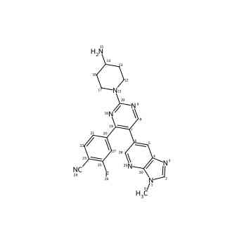 Cn1cnc2cc(-c3cnc(N4CCC(N)CC4)nc3-c3ccc(C#N)c(F)c3)cnc21